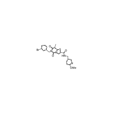 COc1ccc(CNC(=O)c2cn3c(=O)n(Cc4cccc(Br)c4)c(=O)c(C)c3s2)cn1